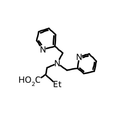 CCC(CN(Cc1ccccn1)Cc1ccccn1)C(=O)O